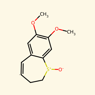 COc1cc2c(cc1OC)[S+]([O-])CC[C]=C2